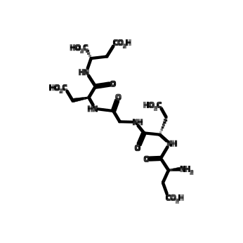 N[C@@H](CC(=O)O)C(=O)N[C@@H](CC(=O)O)C(=O)NCC(=O)N[C@@H](CC(=O)O)C(=O)N[C@@H](CC(=O)O)C(=O)O